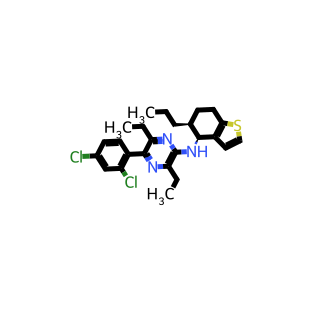 CCC[C@H]1CCc2sccc2[C@@H]1Nc1nc(CC)c(-c2ccc(Cl)cc2Cl)nc1CC